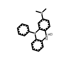 CN(C)c1ccc2c(c1)N(c1ccccc1)c1ccccc1N2.Cl